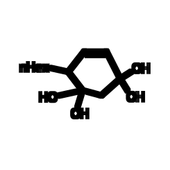 CCCCCCC1C=CC(O)(O)CC1(O)O